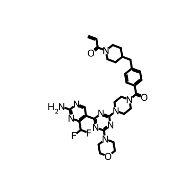 C=CC(=O)N1CCC(Cc2ccc(C(=O)N3CCN(c4nc(-c5cnc(N)nc5C(F)F)nc(N5CCOCC5)n4)CC3)cc2)CC1